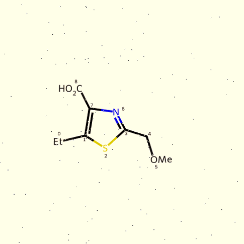 CCc1sc(COC)nc1C(=O)O